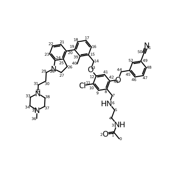 CC(=O)NCCNCc1cc(Cl)c(OCc2cccc(-c3cccc4c3CCN4CCCN3CCN(C)CC3)c2C)cc1OCc1cccc(C#N)c1